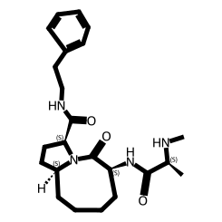 CN[C@@H](C)C(=O)N[C@H]1CCCC[C@H]2CC[C@@H](C(=O)NCCc3ccccc3)N2C1=O